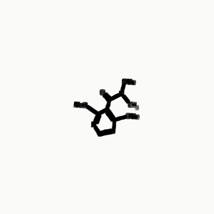 COc1ccnc(OC)c1C(=O)N(C)OC